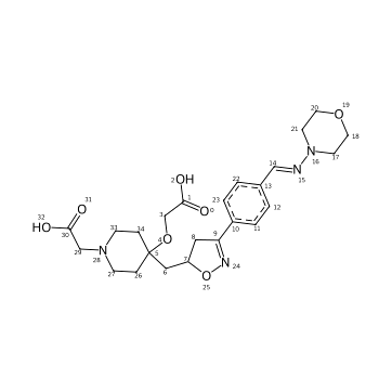 O=C(O)COC1(CC2CC(c3ccc(C=NN4CCOCC4)cc3)=NO2)CCN(CC(=O)O)CC1